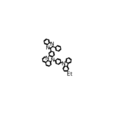 CCc1ccc2c(c1)c1ccccc1n2-c1ccc(N(c2ccc(-c3nc4ccccc4nc3-c3ccccc3)cc2)c2cccc3cccnc23)cc1